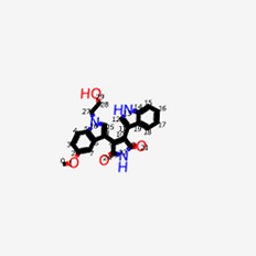 COc1ccc2c(c1)c(C1=C(c3c[nH]c4ccccc34)C(=O)NC1=O)cn2CCO